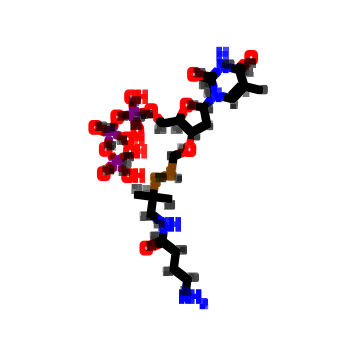 Cc1cn([C@H]2C[C@@H](OCSSC(C)(C)CNC(=O)CCCN)C(COP(=O)(O)OP(=O)(O)OP(=O)(O)O)O2)c(=O)[nH]c1=O